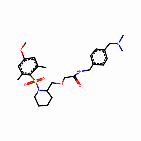 COc1cc(C)c(S(=O)(=O)N2CCCCC2COCC(=O)NCc2ccc(CN(C)C)cc2)c(C)c1